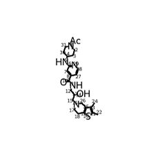 CC(=O)N1CCC(Nc2cc(C(=O)NC[C@H](O)CN3CCc4sc(C)c(C)c4C3)ccn2)CC1